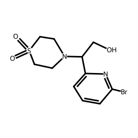 O=S1(=O)CCN(C(CO)c2cccc(Br)n2)CC1